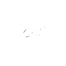 C=CCC1(O)C=C(O)C=C(O)C1